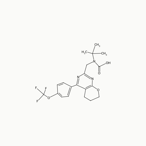 CC(C)(C)N(Cc1nc2c(c(-c3ccc(OC(F)(F)F)cc3)n1)CCCO2)C(=O)O